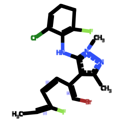 C\C=C(F)/C=C\C(=C\Br)c1c(C)nn(C)c1NC1=C(F)CCC=C1Cl